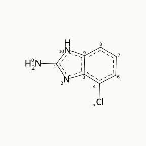 Nc1nc2c(Cl)cccc2[nH]1